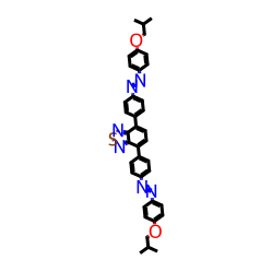 CC(C)COc1ccc(/N=N/c2ccc(-c3ccc(-c4ccc(/N=N/c5ccc(OCC(C)C)cc5)cc4)c4nsnc34)cc2)cc1